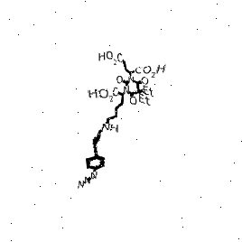 CCC1(CC)C(=O)N(C(CCCCNC/C=C/c2ccc(N=[N+]=[N-])cc2)C(=O)O)C(=O)N(C(CCC(=O)O)C(=O)O)C1=O